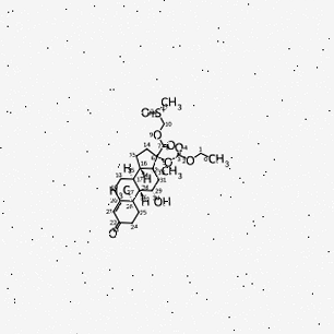 CCOC(=O)O[C@]1(C(=O)OC[S+](C)[O-])CC[C@H]2[C@@H]3CCC4=CC(=O)CC[C@]4(C)[C@H]3[C@@H](O)C[C@@]21C